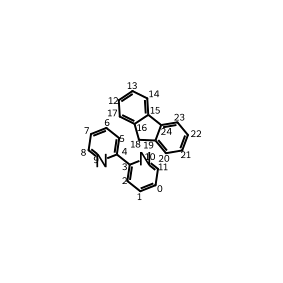 c1ccc(-c2ccccn2)nc1.c1ccc2c(c1)Cc1ccccc1-2